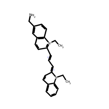 CCN1/C(=C/C=C/c2ccc3cc(CN)ccc3[n+]2CC)C=Cc2ccccc21